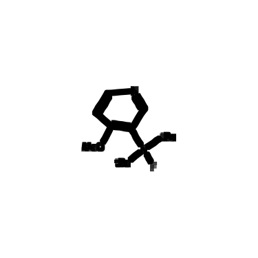 COc1ccncc1S(F)(C(C)(C)C)C(C)(C)C